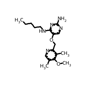 CCCCCNc1nc(N)ncc1OCc1ncc(C)c(OC)c1C